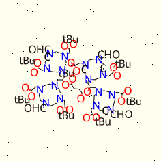 CC(C)(C)OC(=O)CN1CCN(C=O)CCN(CC(=O)OC(C)(C)C)CCN(CC(CN2CCN(CC(=O)OC(C)(C)C)CCN(C=O)CCN(CC(=O)OC(C)(C)C)CC2)OC(=O)CCC(=O)OC(CN2CCN(CC(=O)OC(C)(C)C)CCN(C=O)CCN(CC(=O)OC(C)(C)C)CC2)CN2CCN(CC(=O)OC(C)(C)C)CCN(C=O)CCN(CC(=O)OC(C)(C)C)CC2)CC1